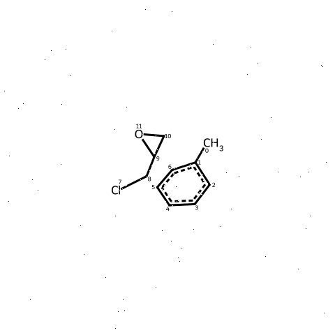 Cc1ccccc1.ClCC1CO1